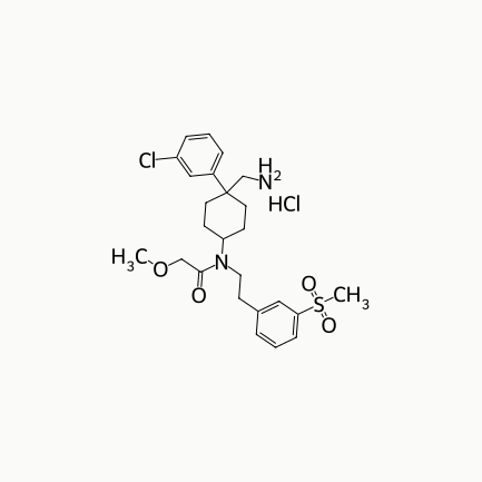 COCC(=O)N(CCc1cccc(S(C)(=O)=O)c1)C1CCC(CN)(c2cccc(Cl)c2)CC1.Cl